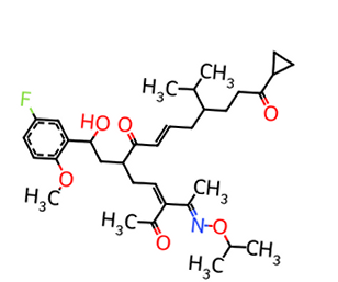 COc1ccc(F)cc1C(O)CC(C/C=C(C(C)=O)/C(C)=N/OC(C)C)C(=O)/C=C/CC(CCC(=O)C1CC1)C(C)C